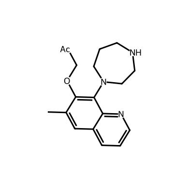 CC(=O)COc1c(C)cc2cccnc2c1N1CCCNCC1